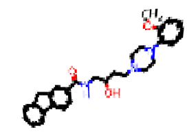 COc1ccccc1N1CCN(CCC(O)CNC(=O)c2ccc3c(c2)Cc2ccccc2-3)CC1